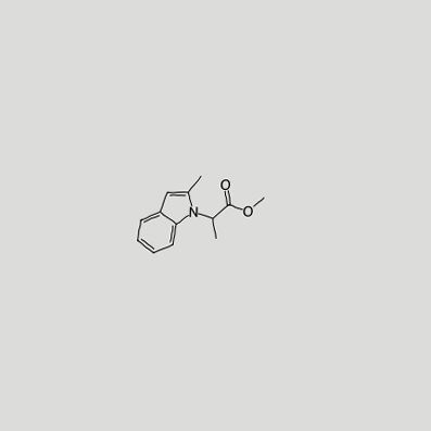 COC(=O)C(C)n1c(C)cc2ccccc21